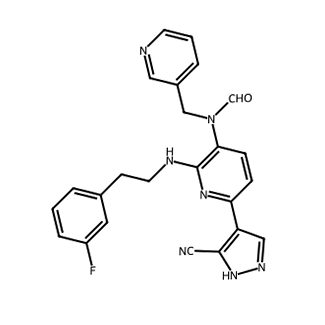 N#Cc1[nH]ncc1-c1ccc(N(C=O)Cc2cccnc2)c(NCCc2cccc(F)c2)n1